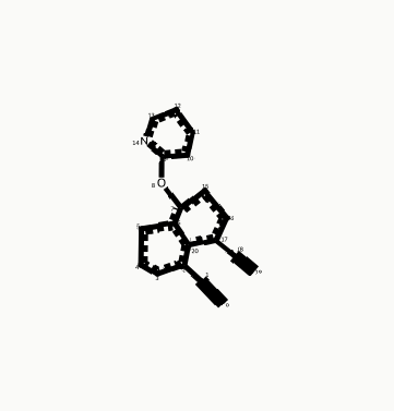 C#Cc1cccc2c(Oc3ccccn3)ccc(C#C)c12